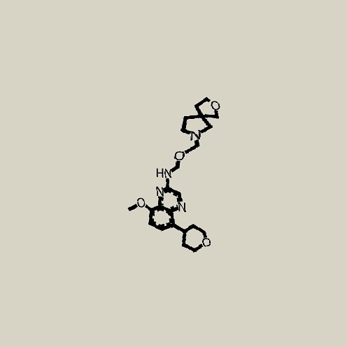 COc1ccc(C2CCOCC2)c2ncc(NCOCN3CCC4(CCOC4)C3)nc12